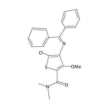 COc1c(C(=O)N(C)C)sc(Cl)c1N=C(c1ccccc1)c1ccccc1